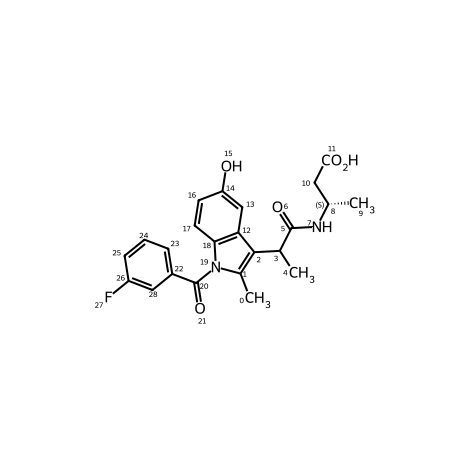 Cc1c(C(C)C(=O)N[C@@H](C)CC(=O)O)c2cc(O)ccc2n1C(=O)c1cccc(F)c1